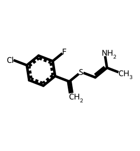 C=C(S/C=C(/C)N)c1ccc(Cl)cc1F